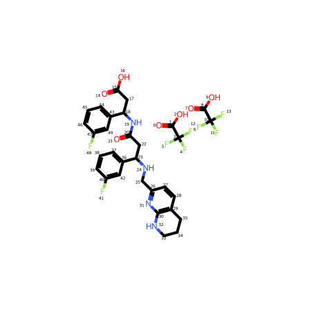 O=C(O)C(F)(F)F.O=C(O)C(F)(F)F.O=C(O)CC(NC(=O)CC(NCc1ccc2c(n1)NCCC2)c1cccc(F)c1)c1cccc(F)c1